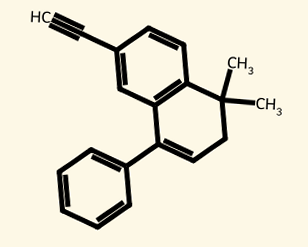 C#Cc1ccc2c(c1)C(c1ccccc1)=CCC2(C)C